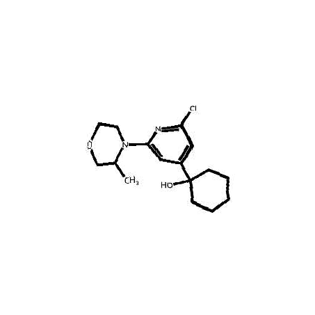 CC1COCCN1c1cc(C2(O)CCCCC2)cc(Cl)n1